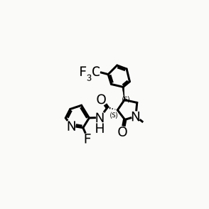 CN1C[C@H](c2cccc(C(F)(F)F)c2)[C@@H](C(=O)Nc2cccnc2F)C1=O